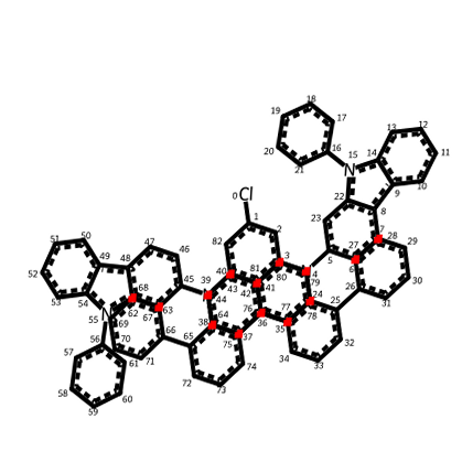 Clc1cc(N(c2ccc3c4ccccc4n(-c4ccccc4)c3c2)c2c(-c3ccccc3)cccc2-c2ccccc2)cc(N(c2ccc3c4ccccc4n(-c4ccccc4)c3c2)c2c(-c3ccccc3)cccc2-c2ccccc2)c1